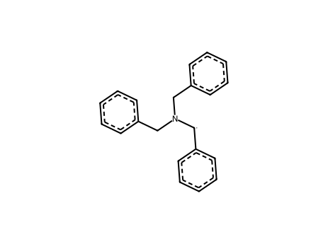 [CH](c1ccccc1)N(Cc1ccccc1)Cc1ccccc1